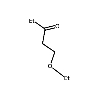 [CH2]CC(=O)CCOCC